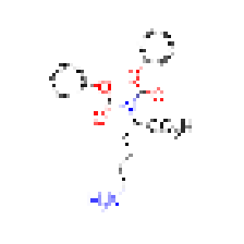 NCCCCC(C(=O)O)N(C(=O)Oc1ccccc1)C(=O)Oc1ccccc1